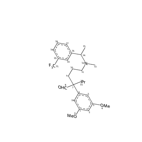 COc1cc(OC)cc(C(C=O)(CCCN(C)C(C)c2cccc(C(F)(F)F)c2)C(C)C)c1